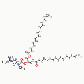 CCCCCCCCCCCCCCCC(=O)OCC(COC(=O)CCCCCCCCCCCCCCC)OC(=O)N(C)C1CN(C(C)C)C1